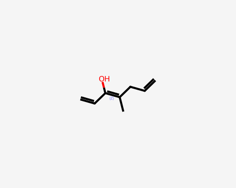 C=CC/C(C)=C(\O)C=C